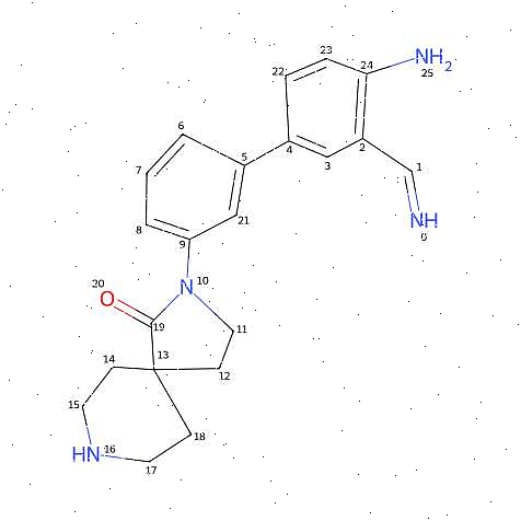 N=Cc1cc(-c2cccc(N3CCC4(CCNCC4)C3=O)c2)ccc1N